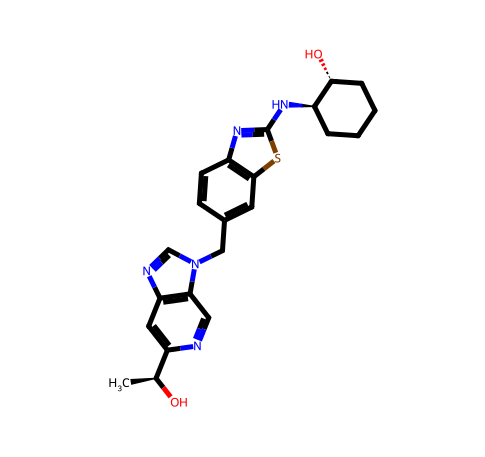 C[C@H](O)c1cc2ncn(Cc3ccc4nc(N[C@@H]5CCCC[C@H]5O)sc4c3)c2cn1